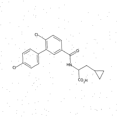 O=C(NC(CC1CC1)C(=O)O)c1ccc(Cl)c(-c2ccc(Cl)cc2)c1